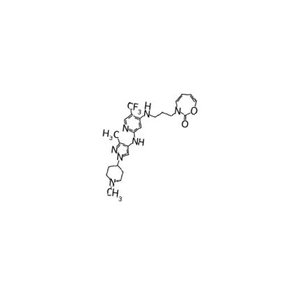 Cc1nn(C2CCN(C)CC2)cc1Nc1cc(NCCCN2C=CC=COC2=O)c(C(F)(F)F)cn1